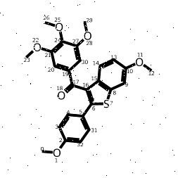 COc1ccc(-c2sc3cc(OC)ccc3c2C(=O)c2cc(OC)c(OC)c(OC)c2)cc1